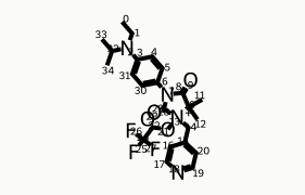 CCN(c1ccc(N2C(=O)C(C)(C)[N+](Cc3ccncc3)(OC(=O)C(F)(F)F)C2=O)cc1)C(C)C